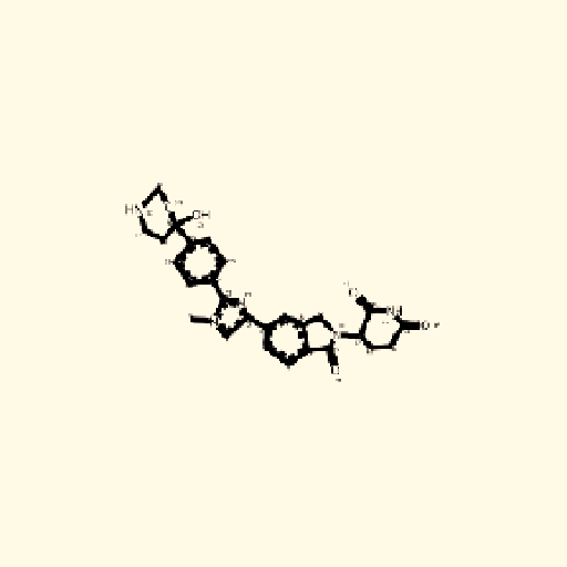 Cn1cc(-c2ccc3c(c2)CN(C2CCC(=O)NC2=O)C3=O)nc1-c1ccc(C2(O)CCNCC2)cc1